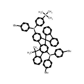 CC(C)(C)c1ccc(N(c2ccc(S(C)(C)C)cc2)c2ccc3c(c2)C2(c4ccccc4-c4ccccc42)c2cc(N(c4ccc(C(C)(C)C)cc4)c4ccc(C(C)(C)C)cc4)c4c(c2-3)C(C)(C)c2ccccc2-4)cc1